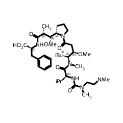 CC[C@H](C)[C@@H]([C@@H](CC(=O)N1CCC[C@H]1[C@H](OC)[C@@H](C)C(=O)N[C@@H](Cc1ccccc1)C(=O)O)OC)N(C)C(=O)[C@@H](NC(=O)N(C)CCNC)C(C)C